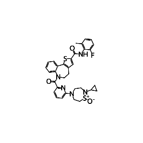 Cc1cccc(F)c1NC(=O)c1cc2c(s1)-c1ccccc1N(C(=O)c1cccc(N3CCN(C4CC4)[S+]([O-])CC3)n1)CC2